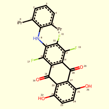 CC(C)c1cccc(C(C)C)c1Nc1c(F)c(F)c2c(c1F)C(=O)c1c(O)ccc(O)c1C2=O